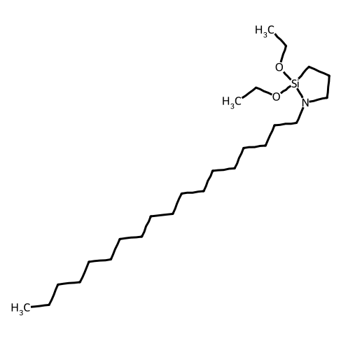 CCCCCCCCCCCCCCCCCCN1CCC[Si]1(OCC)OCC